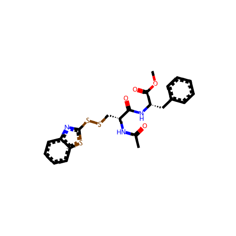 COC(=O)[C@H](Cc1ccccc1)NC(=O)[C@@H](CSSc1nc2ccccc2s1)NC(C)=O